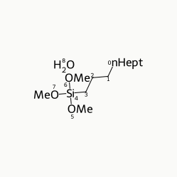 CCCCCCCCCC[Si](OC)(OC)OC.O